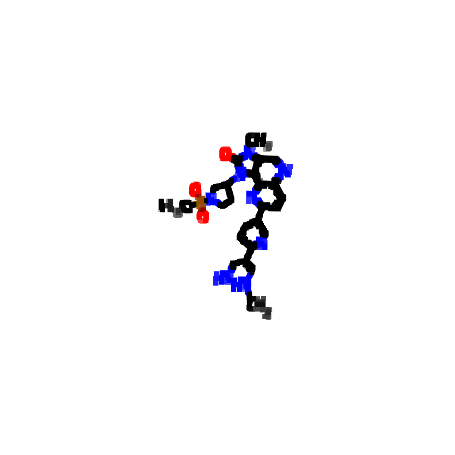 CN/C=C(\C=N)c1ccc(-c2ccc3ncc4c(c3n2)n(C2CCN(S(C)(=O)=O)C2)c(=O)n4C)cn1